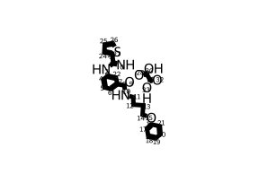 N=C(Nc1cccc(C(=O)NCCCCOc2ccccc2)c1)c1cccs1.O=C(O)C(=O)O